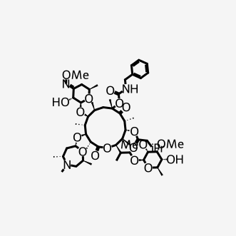 CON=C1C[C@@H](C)O[C@@H](O[C@@H]2[C@@H](C)[C@H](O[C@H]3C[C@@H](C)N(C)C[C@H](C)O3)[C@@H](C)C(=O)O[C@H](C(C)CO[C@@H]3O[C@H](C)[C@@H](O)[C@@H](OC)[C@H]3OC)[C@H](C)[C@@H](OC(=O)CC(C)C)[C@@H](C)C(=O)[C@@](C)(OC(=O)NCc3ccccc3)C[C@@H]2C)[C@@H]1O